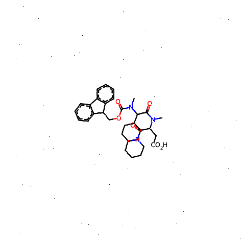 CN(C(=O)C(C1CCCCC1)N(C)C(=O)OCC1c2ccccc2-c2ccccc21)C(CC(=O)O)C(=O)N1CCCCC1